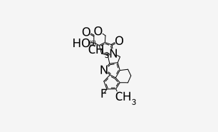 Cc1c(F)cc2nc3c(c4c2c1CCC4)Cn1c-3cc2c(c1=O)COC(=O)[C@@]2(C)O